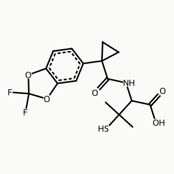 CC(C)(S)C(NC(=O)C1(c2ccc3c(c2)OC(F)(F)O3)CC1)C(=O)O